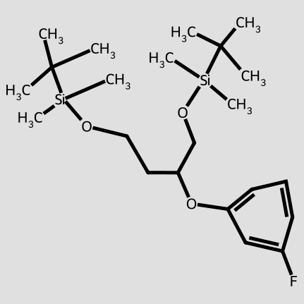 CC(C)(C)[Si](C)(C)OCCC(CO[Si](C)(C)C(C)(C)C)Oc1cccc(F)c1